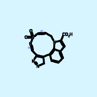 O=C(O)c1cc2cccc3c2n1C/C=C\S(=O)(=O)/N=C\C1=C3CN=N1